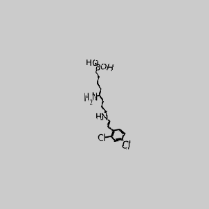 NC(CCCCB(O)O)CCCNCCc1ccc(Cl)cc1Cl